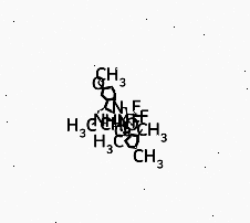 COc1ccc2c(c1)c(CN(C)C)cn2CC(NS(=O)(=O)c1c(C)cc(C)cc1C)C(F)(F)F